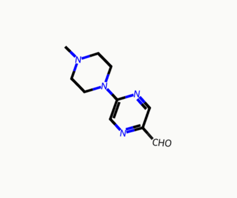 CN1CCN(c2cnc(C=O)cn2)CC1